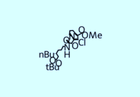 CCCC[C@H](CCCNC(=O)C(=O)c1c(Cl)c(C(=O)OC)c2n1CCC2)CC(=O)OC(C)(C)C